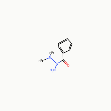 CCCN(CCC)N(N)C(=O)c1ccccc1